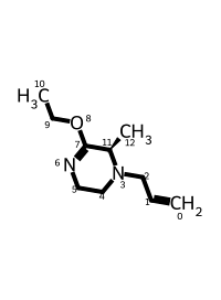 C=CCN1CCN=C(OCC)[C@H]1C